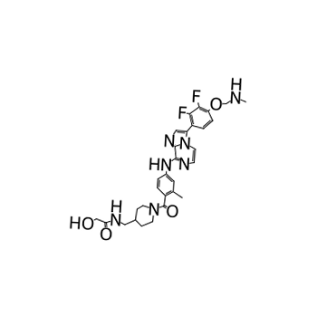 CNCOc1ccc(-c2cnc3c(Nc4ccc(C(=O)N5CCC(CNC(=O)CO)CC5)c(C)c4)nccn23)c(F)c1F